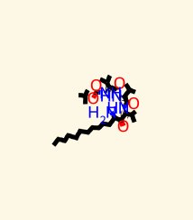 CCCCCCCCCCCC(N)C(=O)[C@@H](NC(=O)[C@@H](NC(=O)[C@@H](NC(=O)OC(C)(C)C)C(C)C)C(C)C)C(C)C